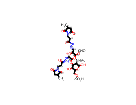 CC(=O)NC1C(O)OC(COS(=O)(=O)O)C(O)C1OC(/C=N\NC(=O)CCN1C(=O)CC(C)C1=O)OC(OC=O)C(O)/C=N/NC(=O)CCN1C(=O)CC(C)C1=O